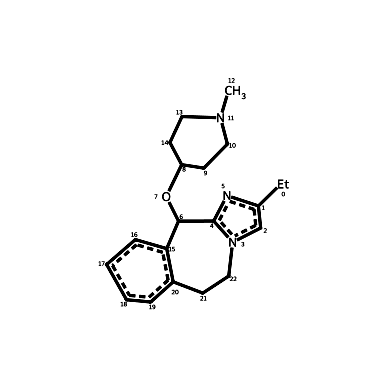 CCc1cn2c(n1)C(OC1CCN(C)CC1)c1ccccc1CC2